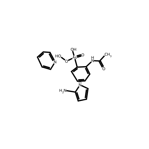 CC(=O)Nc1ccccc1[As](=O)(O)OO.Nc1ccc[nH]1.c1ccncc1